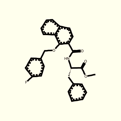 COC(=O)[C@H](Cc1ccccc1)NC(=O)c1ccc2ccccc2c1OCc1ccc(F)cc1